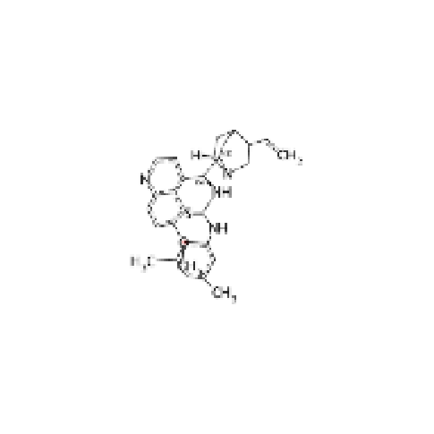 C=CC1CN2CCC1C[C@H]2[C@@H](NC(=S)Nc1cc(C)cc(C)c1)c1ccnc2ccc(OC)cc12